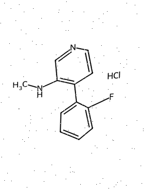 CNc1cnccc1-c1ccccc1F.Cl